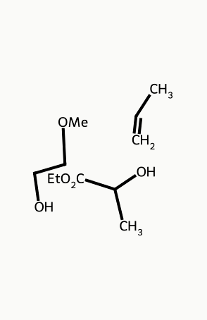 C=CC.CCOC(=O)C(C)O.COCCO